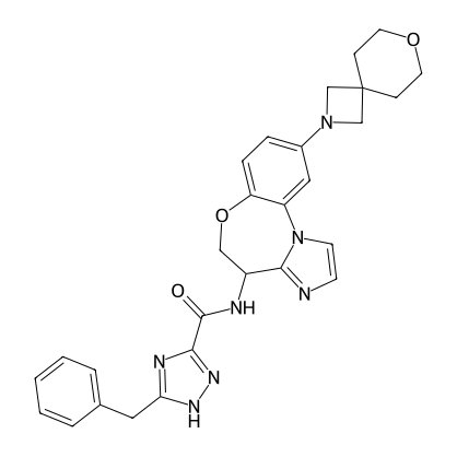 O=C(NC1COc2ccc(N3CC4(CCOCC4)C3)cc2-n2ccnc21)c1n[nH]c(Cc2ccccc2)n1